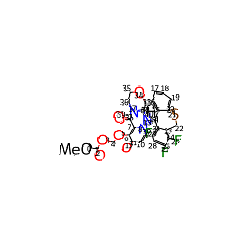 COC(=O)OCOc1c2n(ccc1=O)N([C@@H]1c3ccccc3SCc3c(F)c(F)cc(F)c31)[C@@H]1COCCN1C2=O